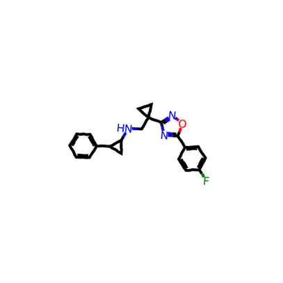 Fc1ccc(-c2nc(C3(CNC4CC4c4ccccc4)CC3)no2)cc1